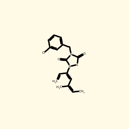 C=C/C(=C\C(C)=C/C)n1sc(=O)n(Cc2cccc(Cl)c2)c1=O